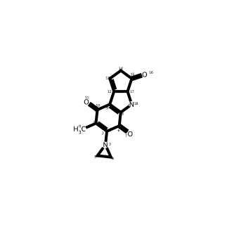 CC1=C(N2CC2)C(=O)C2=C(C1=O)C1=CCC(=O)C1[N]2